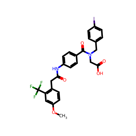 COc1ccc(CC(=O)Nc2ccc(C(=O)N(CC(=O)O)Cc3ccc(I)cc3)cc2)c(C(F)(F)F)c1